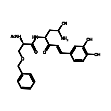 CC(=O)N[C@H](COCc1ccccc1)C(=O)NC(CC(N)C#N)C(=O)/C=C/c1ccc(O)c(O)c1